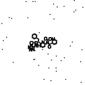 Cn1nnnc1NOC(=Cc1ccccc1)c1cccc(N(C(=O)O)C(=O)c2ccccc2)n1